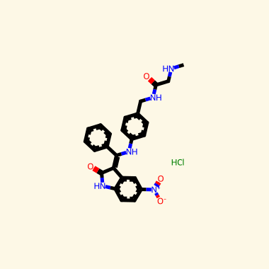 CNCC(=O)NCc1ccc(NC(=C2C(=O)Nc3ccc([N+](=O)[O-])cc32)c2ccccc2)cc1.Cl